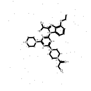 CCOc1cccc2c1nc(C(F)F)n2-c1nc(N2CCOCC2)nc(N2CCN(C(=O)CCl)CC2)n1